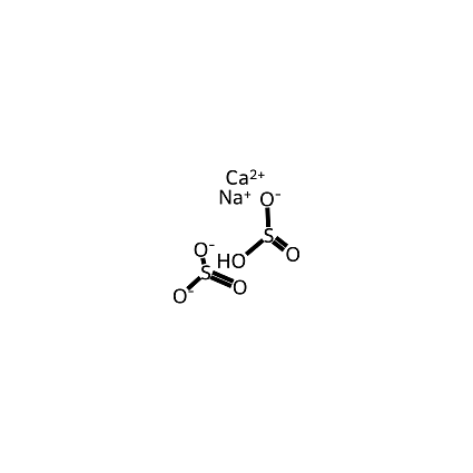 O=S([O-])O.O=S([O-])[O-].[Ca+2].[Na+]